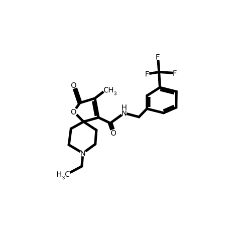 CCN1CCC2(CC1)OC(=O)C(C)=C2C(=O)NCc1cccc(C(F)(F)F)c1